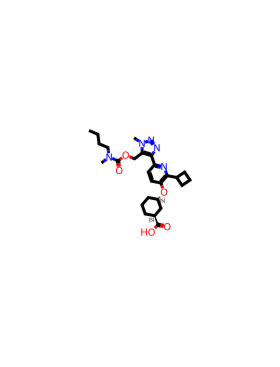 CCCCN(C)C(=O)OCc1c(-c2ccc(O[C@H]3CCC[C@H](C(=O)O)C3)c(C3CCC3)n2)nnn1C